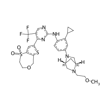 COCCN1C[C@H]2C[C@@H]1CN2c1ccc(Nc2ncc(C(F)(F)F)c(-c3cc4c(s3)COCCS4(=O)=O)n2)c(C2CC2)c1